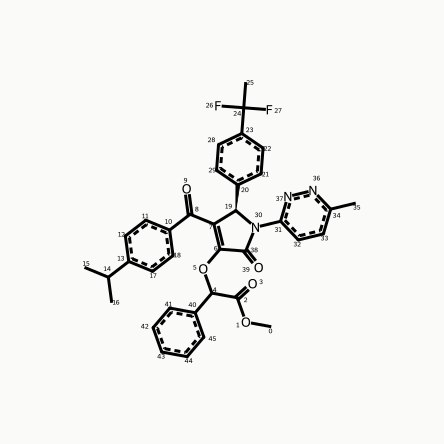 COC(=O)C(OC1=C(C(=O)c2ccc(C(C)C)cc2)[C@@H](c2ccc(C(C)(F)F)cc2)N(c2ccc(C)nn2)C1=O)c1ccccc1